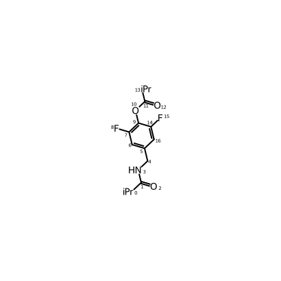 CC(C)C(=O)NCc1cc(F)c(OC(=O)C(C)C)c(F)c1